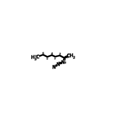 C=C(CCCCCC)N=[N+]=[N-]